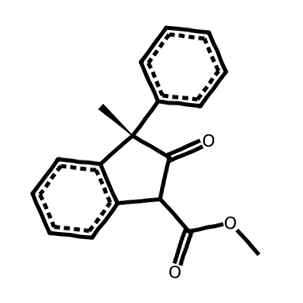 COC(=O)C1C(=O)[C@@](C)(c2ccccc2)c2ccccc21